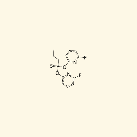 CCCP(=S)(Oc1cccc(F)n1)Oc1cccc(F)n1